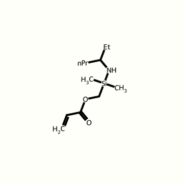 C=CC(=O)OC[Si](C)(C)NC(CC)CCC